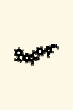 CC(C)c1ccccc1-c1ncc2[nH]c(=O)n(Cc3ccc(-c4nc(N)cn4C)cc3)c2n1